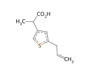 C=CCc1cc(C(C)C(=O)O)cs1